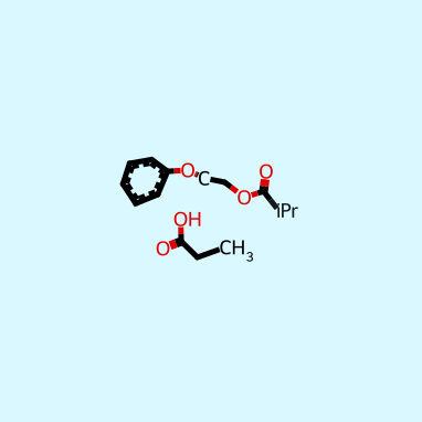 CC(C)C(=O)OCCOc1ccccc1.CCC(=O)O